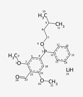 COc1cc(P(OCCC(C)C)c2ccccc2)cc(OC)c1C=O.[LiH]